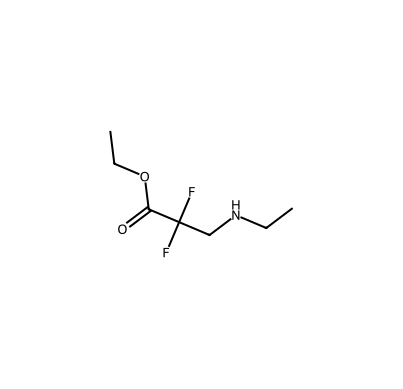 CCNCC(F)(F)C(=O)OCC